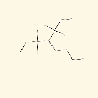 [CH2]CCCC(C(C)(C)CC)C(C)(C)CC